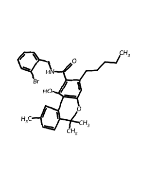 CCCCCc1cc2c(c(O)c1C(=O)NCc1ccccc1Br)-c1cc(C)ccc1C(C)(C)O2